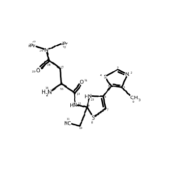 Cc1ncsc1C1=CSC(CC#N)(NC(=O)C(N)CC(=O)N(C(C)C)C(C)C)N1